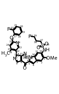 COc1cc2cc(C(=O)c3cnn(-c4cnc(Oc5ccccc5F)cc4C)c3N)[nH]c2cc1NS(=O)(=O)CCCF